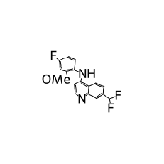 COc1cc(F)ccc1Nc1ccnc2cc(C(F)F)ccc12